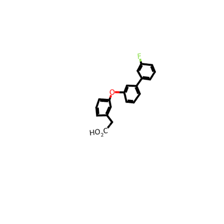 O=C(O)Cc1cccc(Oc2cccc(-c3cccc(F)c3)c2)c1